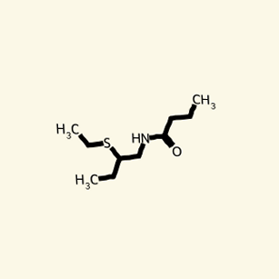 CCCC(=O)NCC(CC)SCC